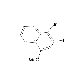 COc1cc(I)c(Br)c2ccccc12